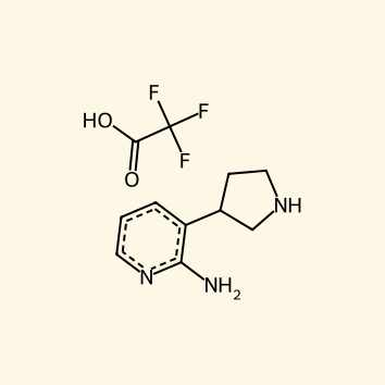 Nc1ncccc1C1CCNC1.O=C(O)C(F)(F)F